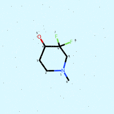 CN1CCC([O])C(F)(F)C1